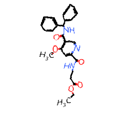 CCOC(=O)CCNC(=O)c1cc(OC)c(C(=O)NC(c2ccccc2)c2ccccc2)cn1